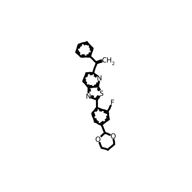 C=C(c1ccccc1)c1ccc2nc(-c3ccc(C4OCCCO4)cc3F)sc2n1